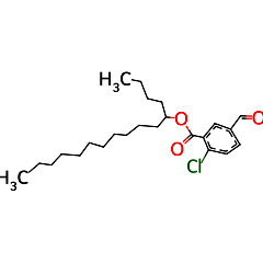 CCCCCCCCCCCC(CCCC)OC(=O)c1cc(C=O)ccc1Cl